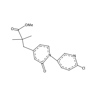 COC(=O)C(C)(C)Cc1ccn(-c2ccc(Cl)nc2)c(=O)c1